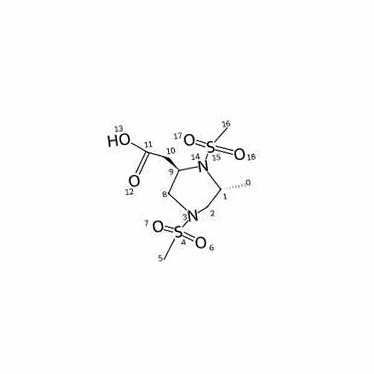 C[C@@H]1CN(S(C)(=O)=O)C[C@@H](CC(=O)O)N1S(C)(=O)=O